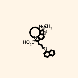 CCc1c2c(nn1C)CCCCCCn1c(C(=O)O)c(CCCOc3cccc4ccccc34)c3ccc(Cl)c-2c31